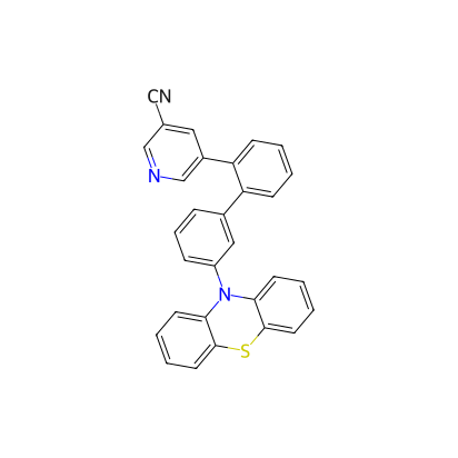 N#Cc1cncc(-c2ccccc2-c2cccc(N3c4ccccc4Sc4ccccc43)c2)c1